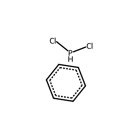 ClPCl.c1ccccc1